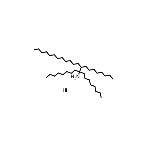 CCCCCCCCCCCCC(CCCCCCCC)C(N)(CCCCCCCC)CCCCCCCC.I